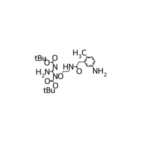 Cc1ccc(N)cc1CC(=O)NCCON(C(=O)OC(C)(C)C)C(N)=NC(=O)OC(C)(C)C